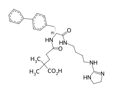 CC(C)(CCC(=O)N[C@H](Cc1ccc(-c2ccccc2)cc1)C(=O)NCCCCNC1=NCCN1)C(=O)O